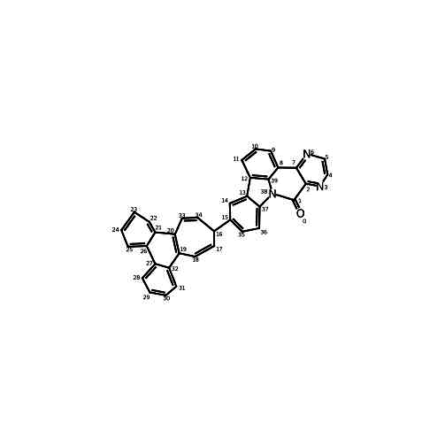 O=c1c2nccnc2c2cccc3c4cc(C5C=Cc6c(c7ccccc7c7ccccc67)C=C5)ccc4n1c32